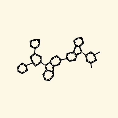 Cc1cc(C)cc(-n2c3ccccc3c3cc(-c4ccc5c(c4)c4ccccc4n5-c4cc(-c5ccccc5)cc(-c5ccccc5)c4)ccc32)c1